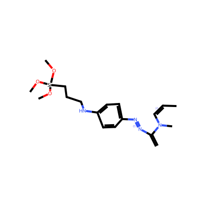 C=C(/N=N/c1ccc(NCCC[Si](OC)(OC)OC)cc1)N(C)/C=C\C